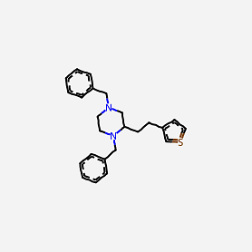 c1ccc(CN2CCN(Cc3ccccc3)C(CCc3ccsc3)C2)cc1